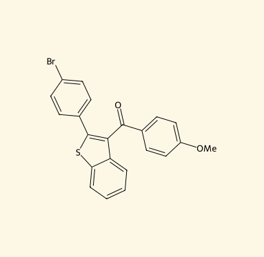 COc1ccc(C(=O)c2c(-c3ccc(Br)cc3)sc3ccccc23)cc1